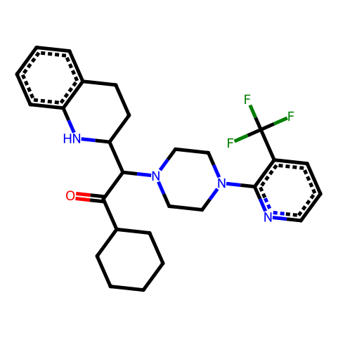 O=C(C1CCCCC1)C(C1CCc2ccccc2N1)N1CCN(c2ncccc2C(F)(F)F)CC1